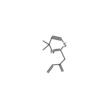 C=CC(=C)CC1=NC(C)(C)C#CS1